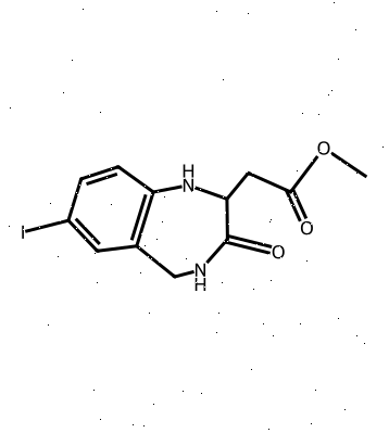 COC(=O)CC1Nc2ccc(I)cc2CNC1=O